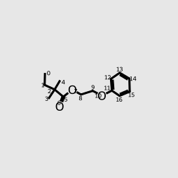 CCC(C)(C)C(=O)OCCOc1ccccc1